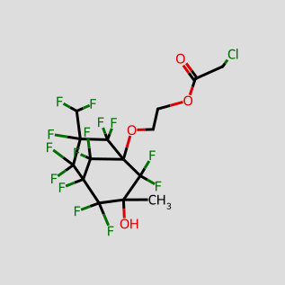 CC1(O)C(F)(F)C2(F)C(F)(F)C(F)(C(F)F)C(F)(F)C(OCCOC(=O)CCl)(C1(F)F)C2(F)F